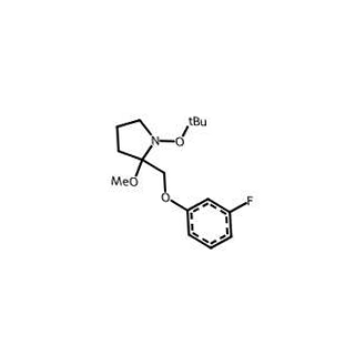 COC1(COc2cccc(F)c2)CCCN1OC(C)(C)C